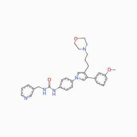 COc1cccc(-c2cn(-c3ccc(NC(=O)NCc4cccnc4)cc3)cc2CCCN2CCOCC2)c1